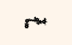 COc1ccc(C2CC(c3cc(C)c(C)c(OC)c3)=NN2C(C)=O)cc1OCCCCOc1cccc(-c2nc3ccccc3s2)c1